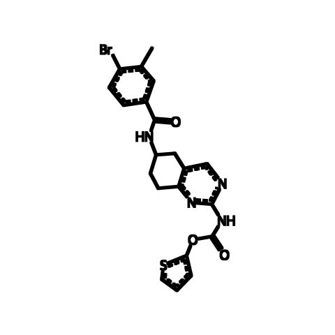 Cc1cc(C(=O)NC2CCc3nc(NC(=O)Oc4cccs4)ncc3C2)ccc1Br